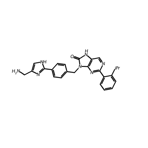 CC(C)c1ccccc1-c1ncc2[nH]c(=O)n(Cc3ccc(-c4nc(CN)c[nH]4)cc3)c2n1